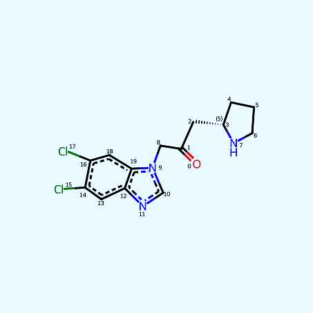 O=C(C[C@@H]1CCCN1)Cn1cnc2cc(Cl)c(Cl)cc21